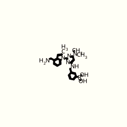 Cc1cc2c(CN)cccc2n1-c1nc(NCc2cccc(B(O)O)c2)cc(N(C)C)n1